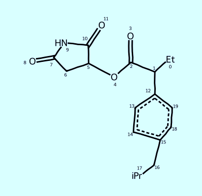 CCC(C(=O)OC1CC(=O)NC1=O)c1ccc(CC(C)C)cc1